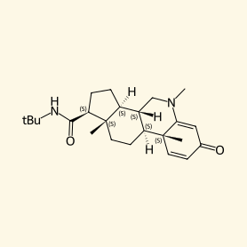 CN1C[C@H]2[C@@H]3CC[C@H](C(=O)NC(C)(C)C)[C@@]3(C)CC[C@@H]2[C@@]2(C)C=CC(=O)C=C12